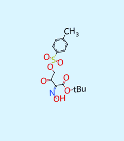 Cc1ccc(S(=O)(=O)OCC(=O)/C(=N/O)C(=O)OC(C)(C)C)cc1